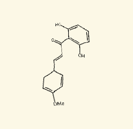 COC1=CCC(C=CC(=O)c2c(O)cccc2O)C=C1